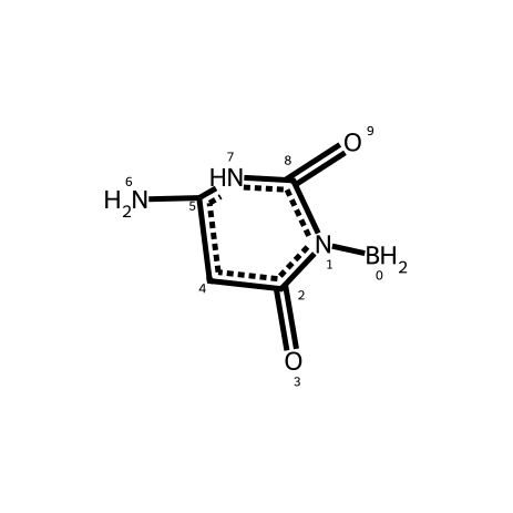 Bn1c(=O)cc(N)[nH]c1=O